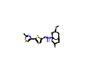 CCC1CC2CC(C)CC(NCc3ccc(-c4csc(C)n4)s3)(C1)C2